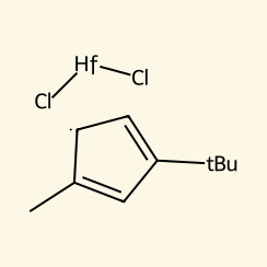 CC1=CC(C(C)(C)C)=C[CH]1.[Cl][Hf][Cl]